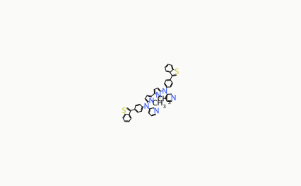 Cn1c(-c2ccc(N(c3ccc(-c4csc5ccccc45)cc3)c3cccnc3)n2C)ccc1N(c1ccc(-c2csc3ccccc23)cc1)c1cccnc1